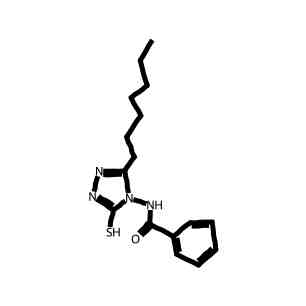 CCCCCCCc1nnc(S)n1NC(=O)c1ccccc1